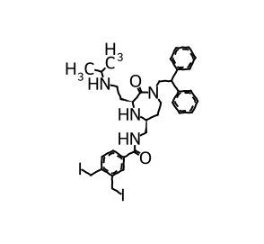 CC(C)NCC[C@@H]1N[C@H](CNC(=O)c2ccc(CI)c(CI)c2)CCN(CC(c2ccccc2)c2ccccc2)C1=O